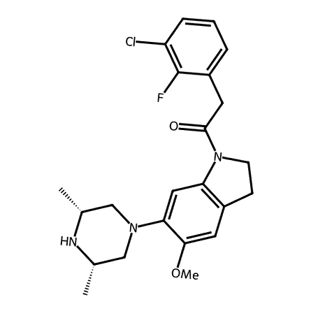 COc1cc2c(cc1N1C[C@@H](C)N[C@@H](C)C1)N(C(=O)Cc1cccc(Cl)c1F)CC2